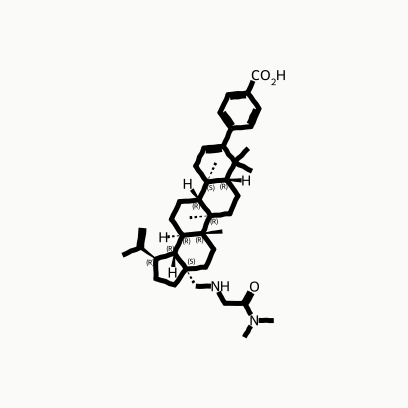 C=C(C)[C@@H]1CC[C@]2(CNCC(=O)N(C)C)CC[C@]3(C)[C@H](CC[C@@H]4[C@@]5(C)CC=C(c6ccc(C(=O)O)cc6)C(C)(C)[C@@H]5CC[C@]43C)[C@@H]12